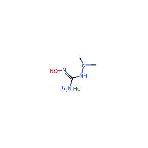 CN(C)NC(N)=NO.Cl